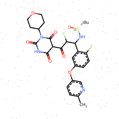 Cc1ccc(Oc2ccc(F)c(C(N[S@+]([O-])C(C)(C)C)C(F)C(=O)C3C(=O)NC(=O)N(C4CCOCC4)C3=O)c2)cn1